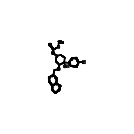 CC(C)(C)OC(=O)ON1CCC(O)(c2ccc(Cl)cc2)C(OCc2ccc3ccccc3c2)C1